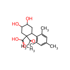 CC(=O)C1(C(=O)O)CC(O)C(O)CC1c1c(C)cc(C)cc1C